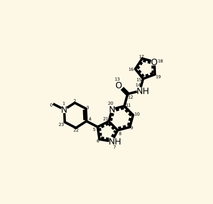 CN1CC=C(c2c[nH]c3ccc(C(=O)Nc4ccoc4)nc23)CC1